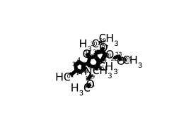 C#Cc1ccc2c3c(n(CCOC)c2c1)C(C)(C)c1cc(OCCOC)c(OC(C)C)cc1C3=O